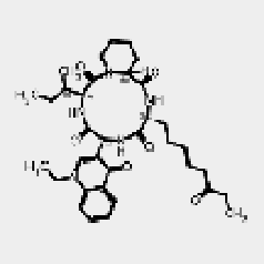 CCC(=O)CCCCC[C@@H]1NC(=O)[C@H]2CCCCN2C(=O)[C@H]([C@H](C)CC)NC(=O)[C@H](c2cn(CC)c3ccccc3c2=O)NC1=O